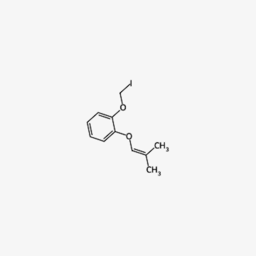 CC(C)=COc1ccccc1OCI